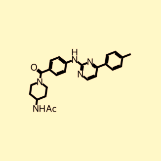 CC(=O)NC1CCN(C(=O)c2ccc(Nc3nccc(-c4ccc(C)cc4)n3)cc2)CC1